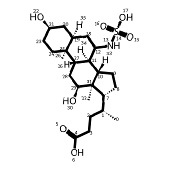 C[C@H](CCC(=O)O)[C@H]1CC[C@H]2[C@@H]3C(NS(=O)(=O)O)C[C@@H]4C[C@H](O)CC[C@]4(C)[C@H]3C[C@H](O)[C@]12C